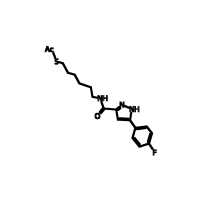 CC(=O)SCCCCCCNC(=O)c1cc(-c2ccc(F)cc2)[nH]n1